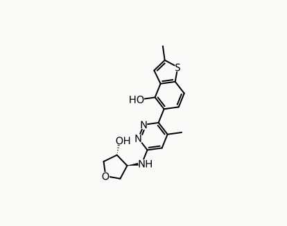 Cc1cc2c(O)c(-c3nnc(N[C@H]4COC[C@@H]4O)cc3C)ccc2s1